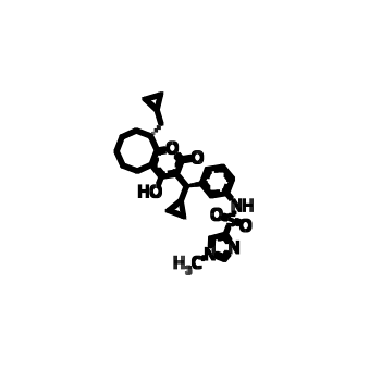 Cn1cnc(S(=O)(=O)Nc2cccc([C@H](c3c(O)c4c(oc3=O)[C@@H](CC3CC3)CCCCC4)C3CC3)c2)c1